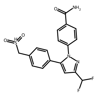 NC(=O)c1ccc(-n2nc(C(F)F)cc2-c2ccc(C[SH](=O)=O)cc2)cc1